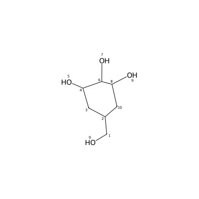 OCC1CC(O)C(O)C(O)C1